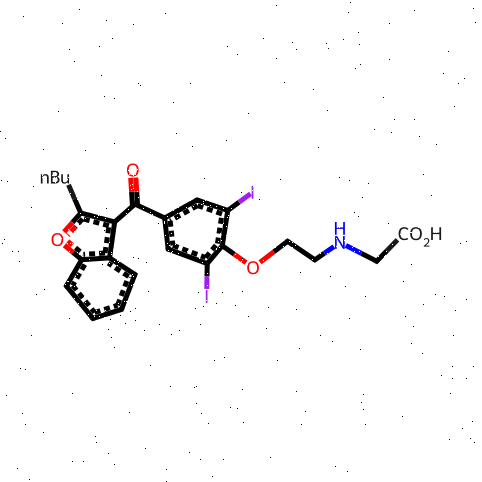 CCCCc1oc2ccccc2c1C(=O)c1cc(I)c(OCCNCC(=O)O)c(I)c1